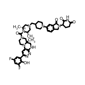 C[C@@H]1CN(CC2CCN(c3ccc4c(c3)C(=O)N(C3CCC(=O)NC3=O)C4)CC2)C[C@H](C)N1C(=O)N1CCN2c3cc(-c4cc(F)cc(F)c4O)nnc3NCC2(C)C1